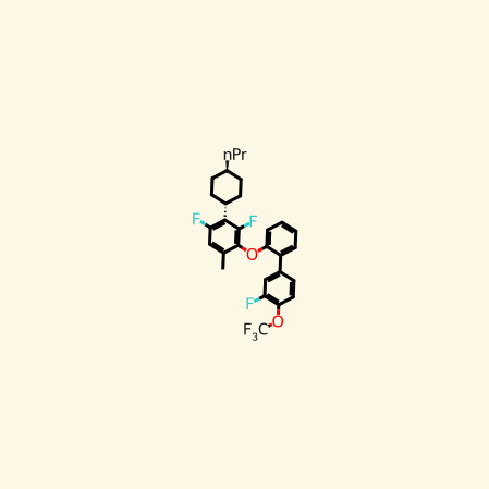 CCC[C@H]1CC[C@H](c2c(F)cc(C)c(Oc3ccccc3-c3ccc(OC(F)(F)F)c(F)c3)c2F)CC1